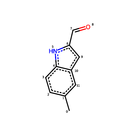 Cc1ccc2[nH]c(C=O)cc2c1